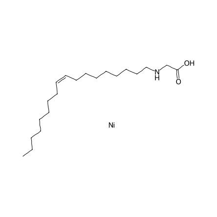 CCCCCCCC/C=C\CCCCCCCCNCC(=O)O.[Ni]